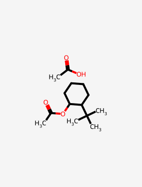 CC(=O)O.CC(=O)OC1CCCCC1C(C)(C)C